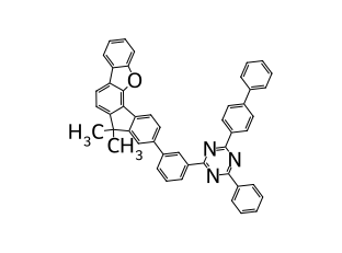 CC1(C)c2cc(-c3cccc(-c4nc(-c5ccccc5)nc(-c5ccc(-c6ccccc6)cc5)n4)c3)ccc2-c2c1ccc1c2oc2ccccc21